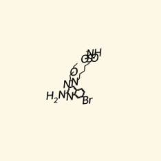 CCOCc1nc2c(N)nc3cc(Br)ccc3c2n1CCCCCS(=O)(=O)NC